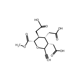 C#CC1O[C@H](C(=O)OC)[C@@H](CC(=O)O)[C@H](CC(=O)O)[C@@H]1CC(=O)O